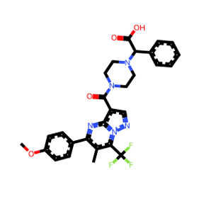 COc1ccc(-c2nc3c(C(=O)N4CCN(C(C(=O)O)c5ccccc5)CC4)cnn3c(C(F)(F)F)c2C)cc1